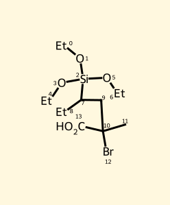 CCO[Si](OCC)(OCC)C(CC)CC(C)(Br)C(=O)O